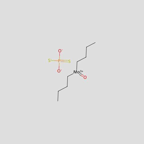 CCC[CH2][Mo+3](=[O])[CH2]CCC.[O-]P([O-])(=S)[S-]